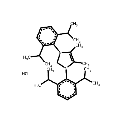 CC1=C(C)N(c2c(C(C)C)cccc2C(C)C)CN1c1c(C(C)C)cccc1C(C)C.Cl